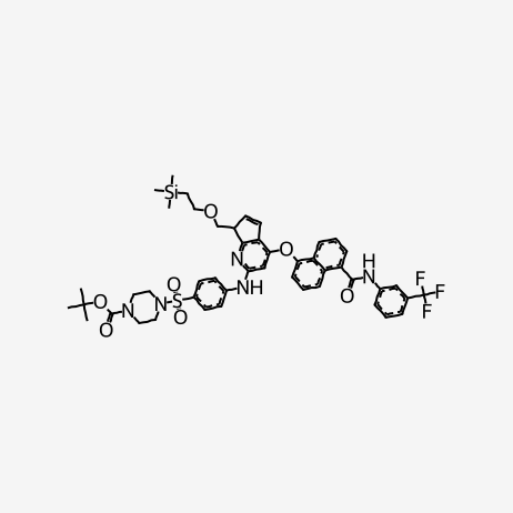 CC(C)(C)OC(=O)N1CCN(S(=O)(=O)c2ccc(Nc3cc(Oc4cccc5c(C(=O)Nc6cccc(C(F)(F)F)c6)cccc45)c4c(n3)C(COCC[Si](C)(C)C)C=C4)cc2)CC1